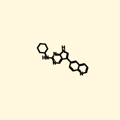 c1cnc2ccc(-c3c[nH]c4nc(NC5CCCCC5)ncc34)cc2c1